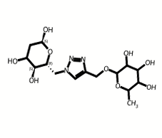 CC1OC(OCc2cn(C[C@H]3O[C@H](O)CC(O)[C@@H]3O)nn2)C(O)C(O)C1O